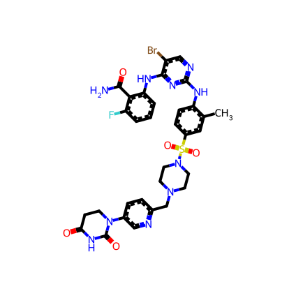 Cc1cc(S(=O)(=O)N2CCN(Cc3ccc(N4CCC(=O)NC4=O)cn3)CC2)ccc1Nc1ncc(Br)c(Nc2cccc(F)c2C(N)=O)n1